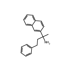 CC(N)(CCc1ccccc1)c1[c]cc2ccccc2c1